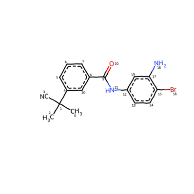 CC(C)(C#N)c1cccc(C(=O)Nc2ccc(Br)c(N)c2)c1